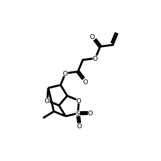 C=CC(=O)OCC(=O)OC1C2OC3C1OS(=O)(=O)C3C2C